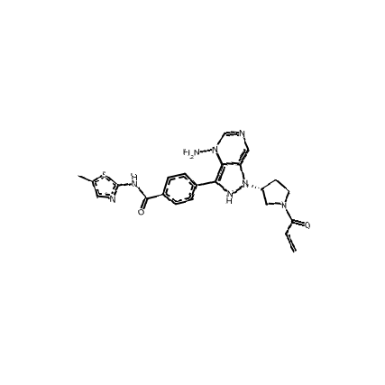 C=CC(=O)N1CC[C@@H](N2NC(c3ccc(C(=O)Nc4ncc(C)s4)cc3)=C3C2=CN=CN3N)C1